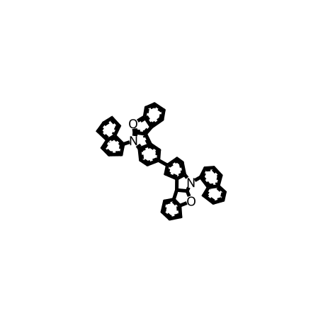 c1ccc2c(c1)OC1C2c2cc(-c3ccc4c(c3)c3c5ccccc5oc3n4-c3cccc4ccccc34)ccc2N1c1cccc2ccccc12